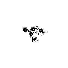 N=C(N)c1ccc(CNC(=O)c2ccc3c(c2)NC(CC(N)=O)C(=O)N(CCc2ccccc2)C3)cc1.O=C(O)C(F)(F)F